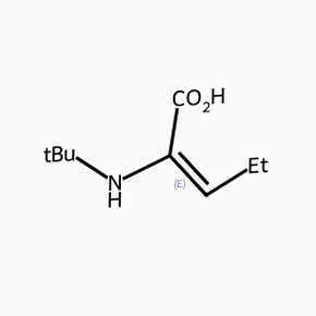 CC/C=C(/NC(C)(C)C)C(=O)O